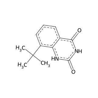 CC(C)(C)c1cccc2c(=O)[nH]c(=O)[nH]c12